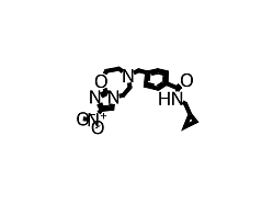 O=C(NCC1CC1)c1ccc(CN2CCOc3nc([N+](=O)[O-])cn3CC2)cc1